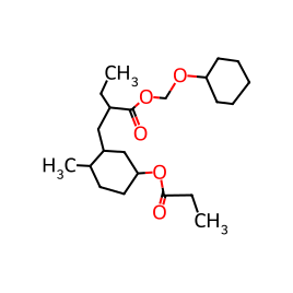 CCC(=O)OC1CCC(C)C(CC(CC)C(=O)OCOC2CCCCC2)C1